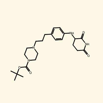 CC(C)(C)OC(=O)N1CCN(CCCc2ccc(NC3CCC(=O)NC3=O)cc2)CC1